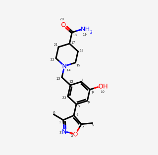 Cc1noc(C)c1-c1cc(O)cc(CN2CCC(C(N)=O)CC2)c1